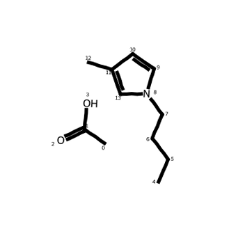 CC(=O)O.CCCCn1ccc(C)c1